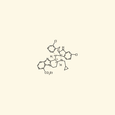 CCOC(=O)c1cccc2nc3n(c12)CC[C@H]1[C@@H]3[C@H](c2cccc(Cl)c2F)[C@]2(C(=O)Nc3cc(Cl)ccc32)N1CC1CC1